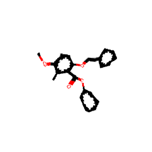 COc1ccc(OCc2ccccc2)c(C(=O)Oc2ccccc2)c1C